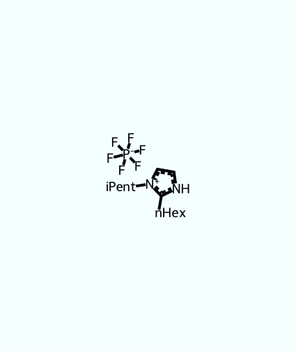 CCCCCCc1[nH]cc[n+]1C(C)CCC.F[P-](F)(F)(F)(F)F